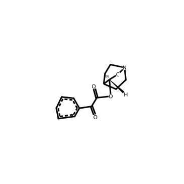 O=C(O[C@H]1CN2CCC1CC2)C(=O)c1ccccc1